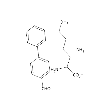 N.NCCCCC(N)C(=O)O.O=Cc1ccc(-c2ccccc2)cc1